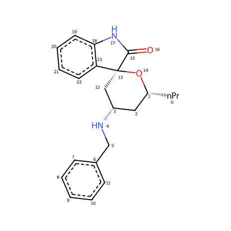 CCC[C@@H]1C[C@H](NCc2ccccc2)C[C@@]2(O1)C(=O)Nc1ccccc12